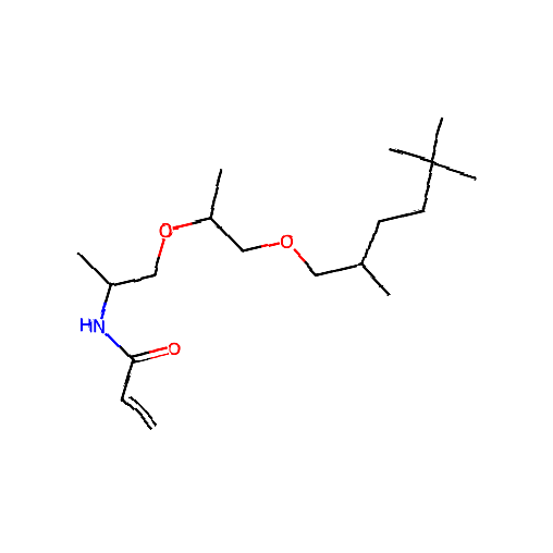 C=CC(=O)NC(C)COC(C)COCC(C)CCC(C)(C)C